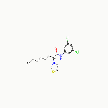 CC(=O)CCCCC[C@@H](C(=O)Nc1cc(Cl)cc(Cl)c1)N1C=CSC1